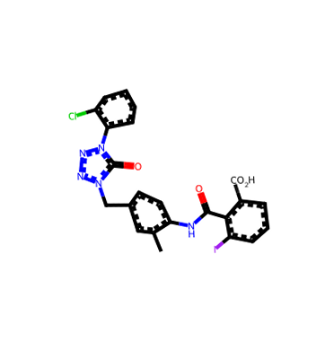 Cc1cc(Cn2nnn(-c3ccccc3Cl)c2=O)ccc1NC(=O)c1c(I)cccc1C(=O)O